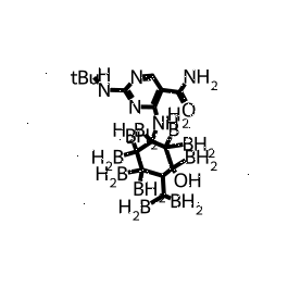 BC(B)C1C(B)(B)C(B)(B)C(B)(Nc2nc(NC(C)(C)C)ncc2C(N)=O)C(B)(B)C1(B)O